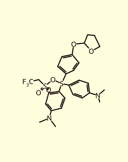 CN(C)c1ccc(S(OS(=O)(=O)CC(F)(F)F)(c2ccc(OC3CCCO3)cc2)c2ccc(N(C)C)cc2)cc1